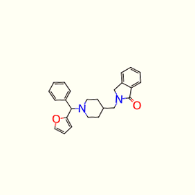 O=C1c2ccccc2CN1CC1CCN(C(c2ccccc2)c2ccco2)CC1